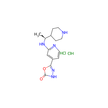 C[C@H](Nc1cc(-c2n[nH]c(=O)o2)ccn1)C1CCNCC1.Cl.Cl